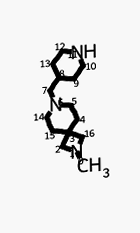 CN1CC2(CCN(CC3CCNCC3)CC2)C1